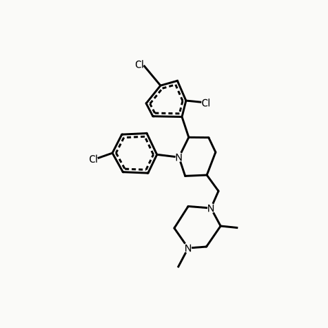 CC1CN(C)CCN1CC1CCC(c2ccc(Cl)cc2Cl)N(c2ccc(Cl)cc2)C1